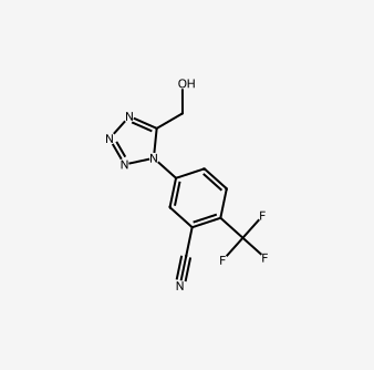 N#Cc1cc(-n2nnnc2CO)ccc1C(F)(F)F